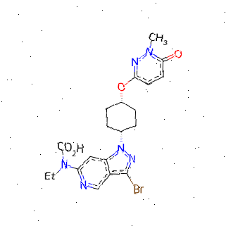 CCN(C(=O)O)c1cc2c(cn1)c(Br)nn2[C@H]1CC[C@@H](Oc2ccc(=O)n(C)n2)CC1